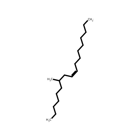 [CH2]CCCCCCC/C=C\CC(C)CCCCCC